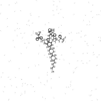 C=C(C)C(=O)CCCCc1cc(C2CCC(C3CCC(CCCCC)CC3)CC2)cc(CCCOC(=O)C(=C)C)c1OCCC(C)(CO)CO